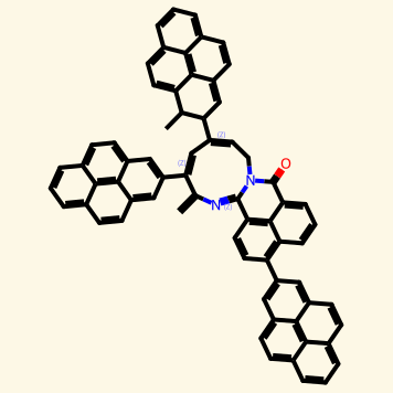 C=C1/N=c2/c3ccc(-c4cc5ccc6cccc7ccc(c4)c5c67)c4cccc(c(=O)n2C/C=C(C2C=c5ccc6cccc7ccc(c5c76)C2C)\C=C/1c1cc2ccc5cccc6ccc(c1)c2c56)c43